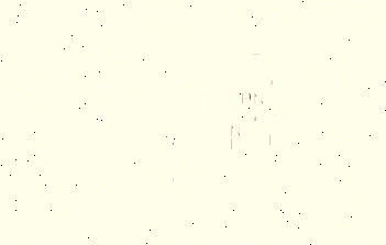 O=C(N[C@@H]1C[C@H]2CC[C@@H]1N2)c1coc(-c2ccccc2)n1